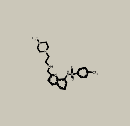 CN1CCN(CCNCc2ccc3cccc(NS(=O)(=O)c4ccc(C(F)(F)F)cc4)c3n2)CC1